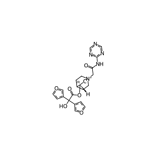 O=C(C[N+]12CCC(CC1)[C@@H](OC(=O)C(O)(c1ccoc1)c1ccoc1)C2)Nc1ncncn1